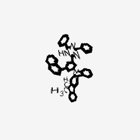 CC1(C)c2ccccc2-c2cc3c4ccccc4n(-c4cc(C5=NC(c6ccccc6)=NC(c6ccccc6)N5)cc(-c5cccc6ccccc56)c4)c3cc21